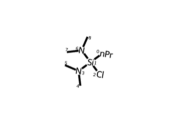 CCC[Si](Cl)(N(C)C)N(C)C